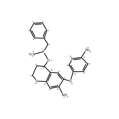 NP(Cc1ccccc1)OC1CCOc2cc([N+](=O)[O-])c(Oc3ccc(P)nc3)cc21